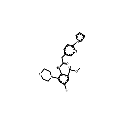 COC(=O)c1cc(Br)cc(N2CCOCC2)c1NC(=O)Cc1ccc(-n2cccc2)nc1